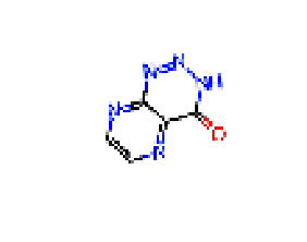 O=c1[nH]nnc2nccnc12